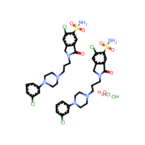 Cl.Cl.NS(=O)(=O)c1cc2c(cc1Cl)CN(CCCN1CCN(c3cccc(Cl)c3)CC1)C2=O.NS(=O)(=O)c1cc2c(cc1Cl)CN(CCCN1CCN(c3cccc(Cl)c3)CC1)C2=O.O